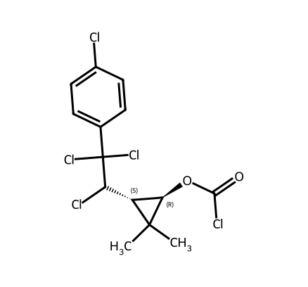 CC1(C)[C@H](OC(=O)Cl)[C@H]1C(Cl)C(Cl)(Cl)c1ccc(Cl)cc1